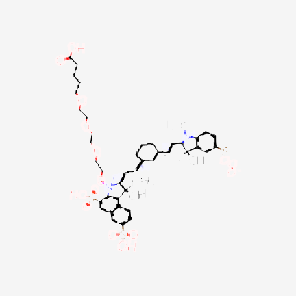 C[N+]1=C(/C=C/C2=CC(=C/C=C3/N(OCCOCCOCCOCCCCC(=O)O)c4c(S(=O)(=O)O)cc5cc(S(=O)(=O)O)ccc5c4C3(C)C)/CCC2)C(C)(C)c2cc(SOO[O-])ccc21